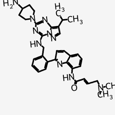 CC(C)c1cnn2c(NCc3ccccc3-c3ccc4cccc(NC(=O)/C=C/CN(C)C)c4n3)nc(N3CCC(N)CC3)nc12